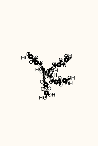 COc1ccc(N2C(=O)c3ccc(C(=O)OCC(O)CN4C(=O)N(CC(O)COC(=O)c5ccc6c(c5)C(=O)N(c5ccc(CO)c(O)c5)C6=O)C5C4N(CC(O)COC(=O)c4ccc6c(c4)C(=O)N(c4ccc(OC)c(O)c4)C6=O)C(=O)N5CC(O)COC(=O)c4ccc5c(c4)C(=O)N(c4ccc(CO)c(O)c4)C5=O)cc3C2=O)cc1O